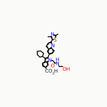 Cc1nc(C)c(-c2ccc3cc(-c4c(C5CCCCC5)c5ccc(C(=O)O)cc5n4CC(=O)NCCO)ccc3n2)s1